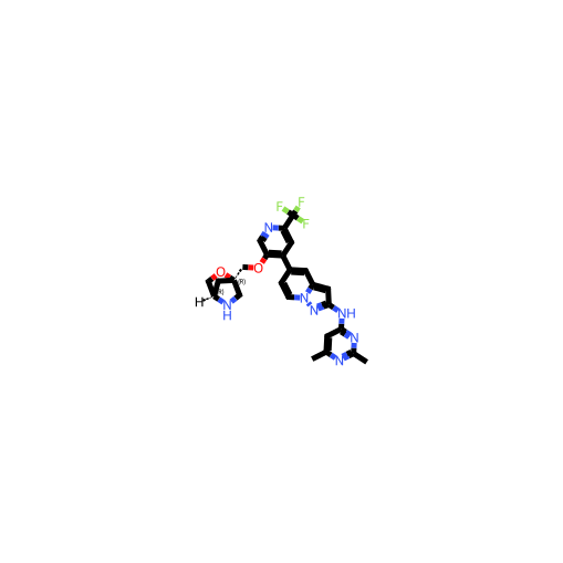 Cc1cc(Nc2cc3cc(-c4cc(C(F)(F)F)ncc4OC[C@@]45CN[C@@H](CO4)C5)ccn3n2)nc(C)n1